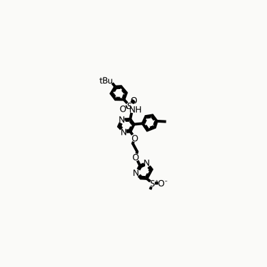 Cc1ccc(-c2c(NS(=O)(=O)c3ccc(C(C)(C)C)cc3)ncnc2OCCOc2ncc([S+](C)[O-])cn2)cc1